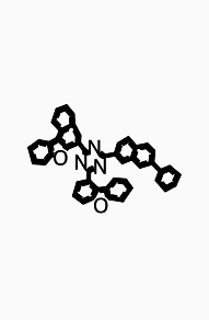 c1ccc(-c2ccc3ccc(-c4nc(-c5cc6ccccc6c6c5oc5ccccc56)nc(-c5cccc6oc7ccccc7c56)n4)cc3c2)cc1